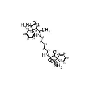 CC(NCCCCCNC(C)C(=O)C1(C(N)=O)C=CC=CC1)C(=O)C1(C(N)=O)C=CC=CC1